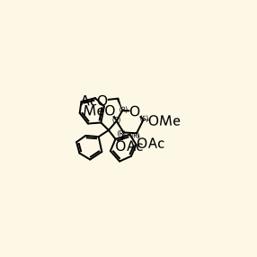 CO[C@H]1O[C@H](COC(C)=O)[C@@](OC)(C(c2ccccc2)(c2ccccc2)c2ccccc2)[C@H](OC(C)=O)[C@H]1OC(C)=O